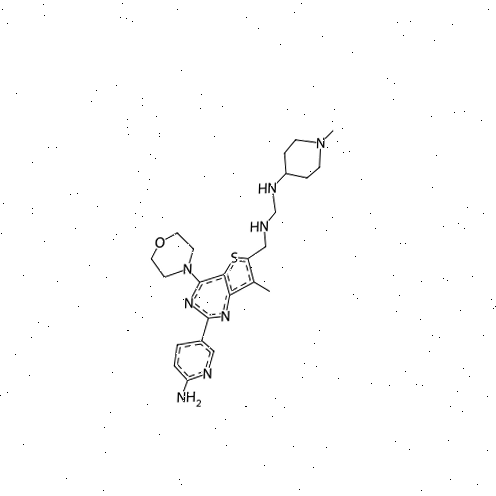 Cc1c(CNCNC2CCN(C)CC2)sc2c(N3CCOCC3)nc(-c3ccc(N)nc3)nc12